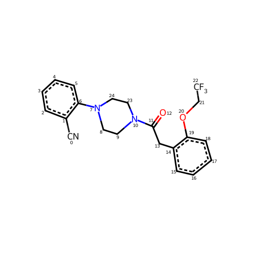 N#Cc1ccccc1N1CCN(C(=O)Cc2ccccc2OCC(F)(F)F)CC1